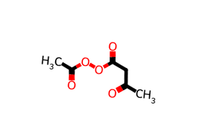 CC(=O)CC(=O)OOC(C)=O